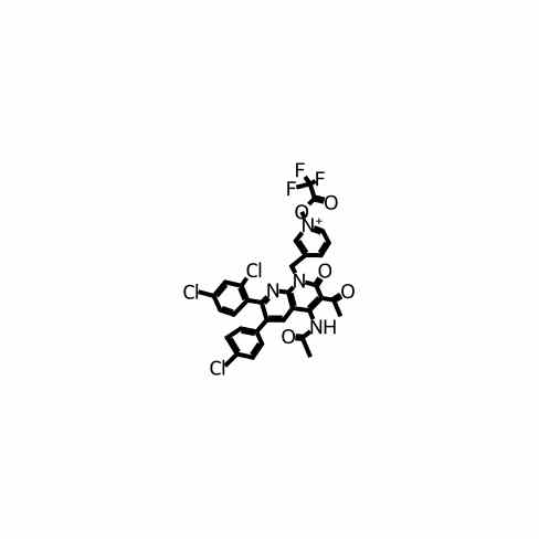 CC(=O)Nc1c(C(C)=O)c(=O)n(Cc2ccc[n+](OC(=O)C(F)(F)F)c2)c2nc(-c3ccc(Cl)cc3Cl)c(-c3ccc(Cl)cc3)cc12